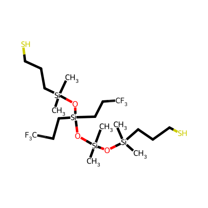 C[Si](C)(CCCS)O[Si](C)(C)O[Si](CCC(F)(F)F)(CCC(F)(F)F)O[Si](C)(C)CCCS